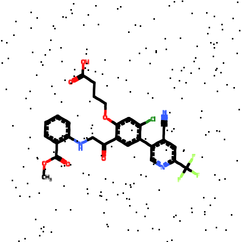 COC(=O)c1ccccc1NCC(=O)c1cc(-c2cnc(C(F)(F)F)cc2C#N)c(Cl)cc1OCCCC(=O)O